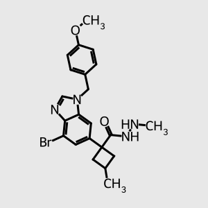 CNNC(=O)C1(c2cc(Br)c3ncn(Cc4ccc(OC)cc4)c3c2)CC(C)C1